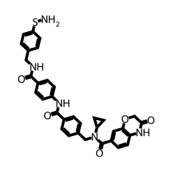 NSc1ccc(CNC(=O)c2ccc(NC(=O)c3ccc(CN(C(=O)c4ccc5c(c4)OCC(=O)N5)C4CC4)cc3)cc2)cc1